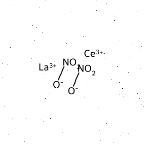 O=[N+]([O-])[O-].O=[N+]([O-])[O-].[Ce+3].[La+3]